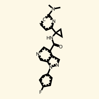 CN(C)c1cccc(C2(NC(=O)c3cncc4c3cnn4-c3ccc(F)cc3)CC2)n1